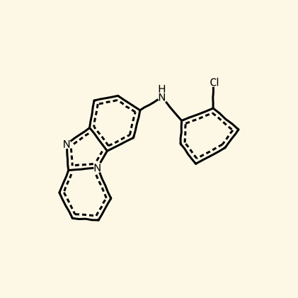 Clc1ccccc1Nc1ccc2nc3ccccn3c2c1